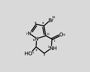 O=C1NCC(O)n2ncc(Br)c21